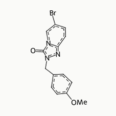 COc1ccc(Cn2nc3ccc(Br)cn3c2=O)cc1